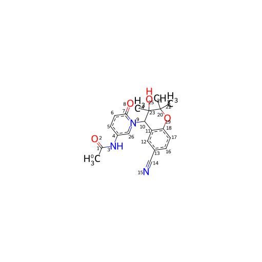 CC(=O)Nc1ccc(=O)n(C2c3cc(C#N)ccc3OC(C)(C)C2(C)O)c1